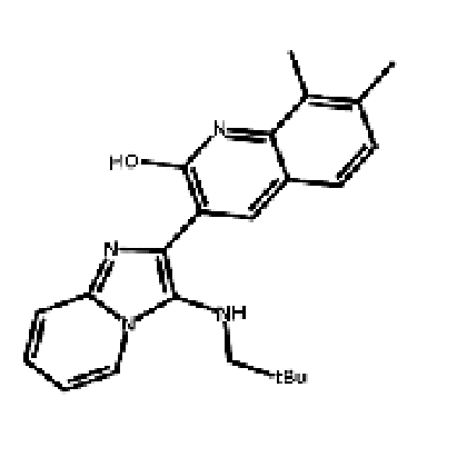 Cc1ccc2cc(-c3nc4ccccn4c3NCC(C)(C)C)c(O)nc2c1C